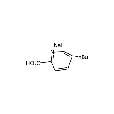 CCCCc1ccc(C(=O)O)nc1.[NaH]